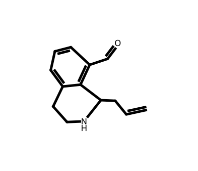 C=CCC1NCCc2cccc(C=O)c21